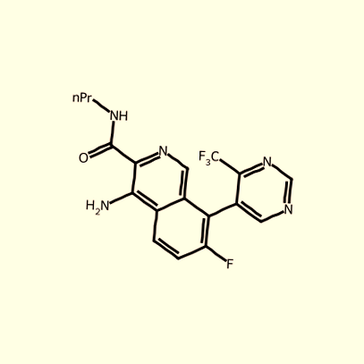 CCCNC(=O)c1ncc2c(-c3cncnc3C(F)(F)F)c(F)ccc2c1N